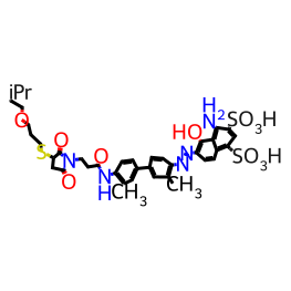 Cc1cc(-c2ccc(NC(=O)CCN3C(=O)CC(SCCCOCCC(C)C)C3=O)c(C)c2)ccc1/N=N/c1ccc2c(S(=O)(=O)O)cc(S(=O)(=O)O)c(N)c2c1O